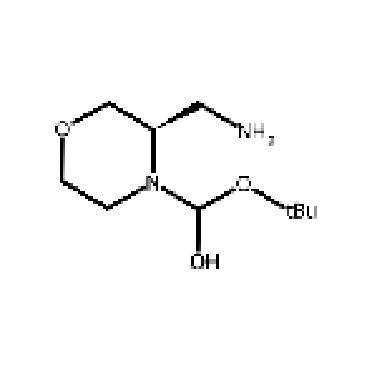 CC(C)(C)OC(O)N1CCOC[C@H]1CN